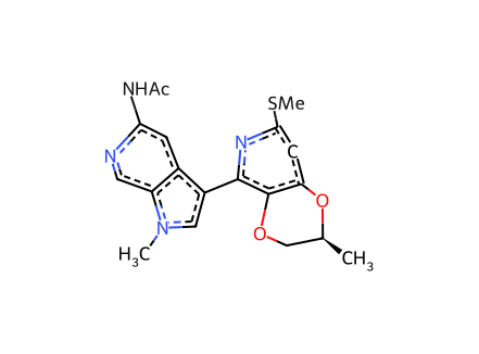 CSc1cc2c(c(-c3cn(C)c4cnc(NC(C)=O)cc34)n1)OC[C@H](C)O2